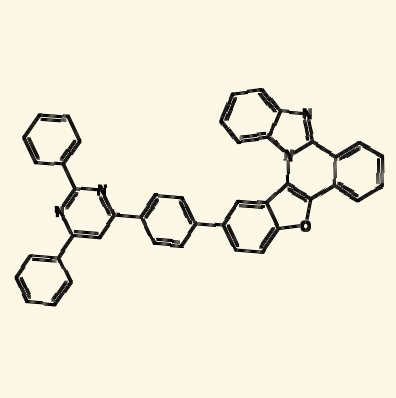 c1ccc(-c2cc(-c3ccc(-c4ccc5oc6c7ccccc7c7nc8ccccc8n7c6c5c4)cc3)nc(-c3ccccc3)n2)cc1